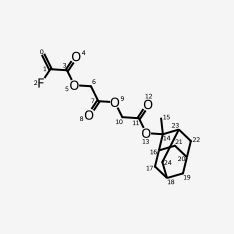 C=C(F)C(=O)OCC(=O)OCC(=O)OC1(C)C2CC3CC(C2)CC1C3